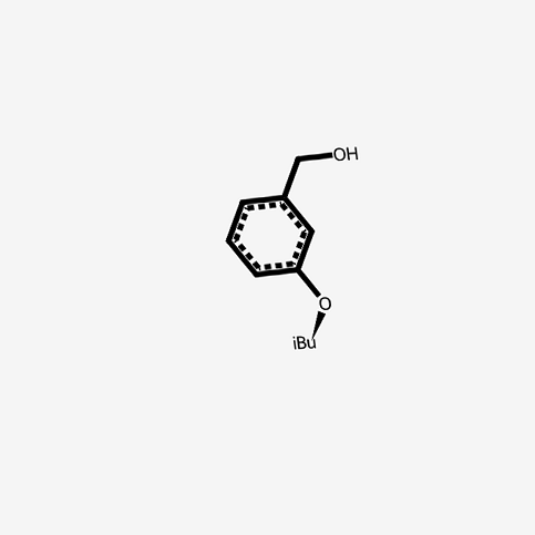 CC[C@H](C)Oc1cccc(CO)c1